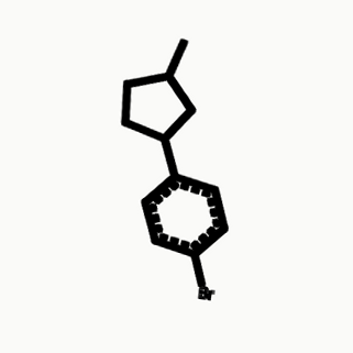 CC1CCC(c2ccc(Br)cc2)C1